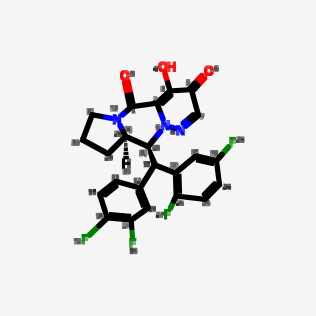 O=C1c2c(O)c(=O)cnn2[C@@H](C(c2ccc(F)c(F)c2)c2cc(F)ccc2F)[C@H]2CCCN12